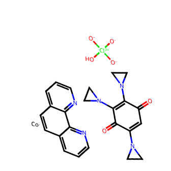 O=C1C=C(N2CC2)C(=O)C(N2CC2)=C1N1CC1.[Co].[O-][Cl+3]([O-])([O-])O.c1cnc2c(c1)ccc1cccnc12